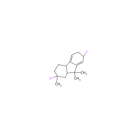 CC1(I)CCC2C3=CCC(I)C=C3C(C)(C)C2C1